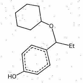 CCC(OC1CCCCC1)c1ccc(O)cc1